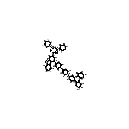 c1ccc(-c2nc(-c3ccccc3)nc(-c3cc(-c4ccc(-c5ccc(-c6ccc7c8ccccc8c8ccccc8c7c6)cc5)cc4)c4c(c3)oc3ccccc34)n2)cc1